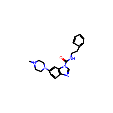 CN1CCN(c2ccc3ncn(C(=O)NCCc4ccccc4)c3c2)CC1